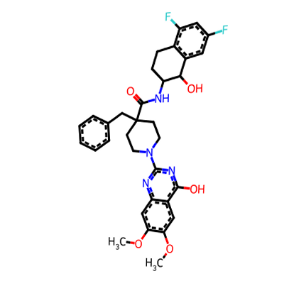 COc1cc2nc(N3CCC(Cc4ccccc4)(C(=O)NC4CCc5c(F)cc(F)cc5C4O)CC3)nc(O)c2cc1OC